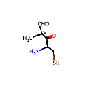 C[C@@H]([C]=O)C(=O)C(N)CS